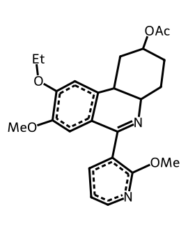 CCOc1cc2c(cc1OC)C(c1cccnc1OC)=NC1CCC(OC(C)=O)CC21